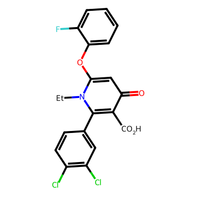 CCn1c(Oc2ccccc2F)cc(=O)c(C(=O)O)c1-c1ccc(Cl)c(Cl)c1